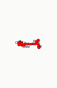 CCN(c1cc(OCCOCCOCCOCCCC(=O)c2ccc(CC(C)C3CC(CC(C)(C)C)[C@](C)(c4ccc(Cl)cc4F)[C@H]3c3cccc(C)c3C)c(OC)c2)cc(C(=O)CCC2=C(C)C=C(C)CC2=O)c1C)C1CCOCC1